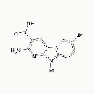 CCn1c2ccc(Br)cc2c2cc(C(N)=O)c(N)nc21